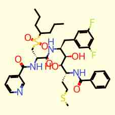 CCCC(CCC)S(=O)(=O)C[C@@H](NC(=O)c1cccnc1)C(=O)N[C@@H](Cc1cc(F)cc(F)c1)[C@@H](O)[C@H](O)[C@@H](CCSC)NC(=O)c1ccccc1